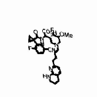 COC(CF)CN(CCCCc1ccc2c(n1)NCCC2)CCC(NC(=O)C1(c2cc(C#N)ccc2F)CC1)C(=O)O